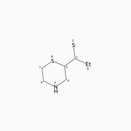 CCC([S])C1CNCCS1